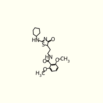 COc1cccc(OC)c1C(=O)NCCC1SC(NC2CCCCC2)=NC1=O